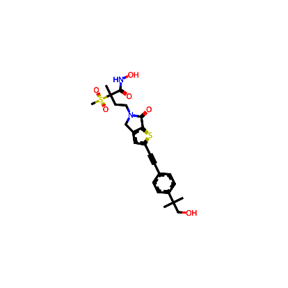 CC(C)(CO)c1ccc(C#Cc2cc3c(s2)C(=O)N(CCC(C)(C(=O)NO)S(C)(=O)=O)C3)cc1